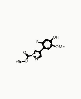 COc1cc(-c2cnn(C(=O)OC(C)(C)C)c2)c(F)cc1O